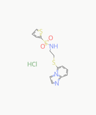 Cl.O=S(=O)(NCCSc1cccc2nccn12)c1cccs1